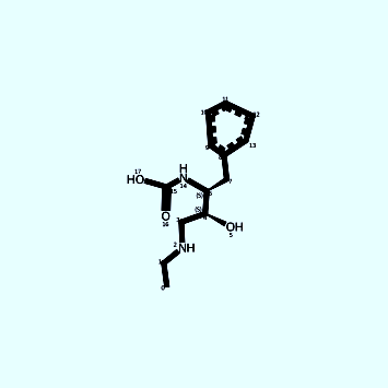 CCNC[C@H](O)[C@H](Cc1ccccc1)NC(=O)O